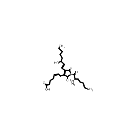 CCCCCC(O)/C=C/C1=C(C/C=C\CCCC(=O)O)C(C)N(C(=O)[C@@H](N)CCCCN)C1=O